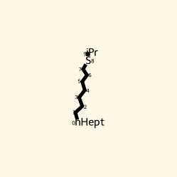 CCCCCCCCCCCCCCSC(C)C